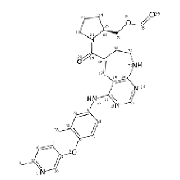 Cc1ccc(Oc2ccc(Nc3ncnc4c3C=C(C(=O)N3CCC[C@H]3COC=O)CCN4)cc2C)cn1